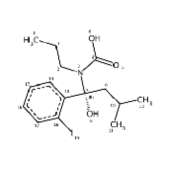 CCCN(C(=O)O)[C@@](O)(CC(C)C)c1ccccc1I